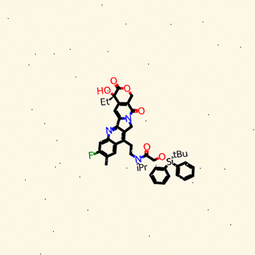 CC[C@@]1(O)C(=O)OCc2c1cc1n(c2=O)Cc2c-1nc1cc(F)c(C)cc1c2CCN(C(=O)CO[Si](c1ccccc1)(c1ccccc1)C(C)(C)C)C(C)C